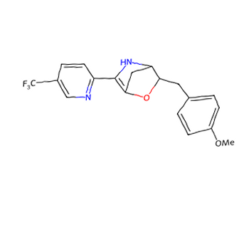 COc1ccc(CC2OC3=C(c4ccc(C(F)(F)F)cn4)NC2C3)cc1